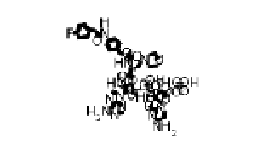 Nc1ccn([C@@H]2O[C@H](COP(=O)(O)O)[C@@H](OP(=O)(O)OC[C@H]3O[C@@H](n4cnc5c(N)ncnc54)[C@H](O)[C@@H]3OC(=O)[C@H](CCN3CCOCC3)NC(=O)OCc3ccc(NC(=O)Cc4ccc(F)cc4)cc3)[C@H]2O)c(=O)n1